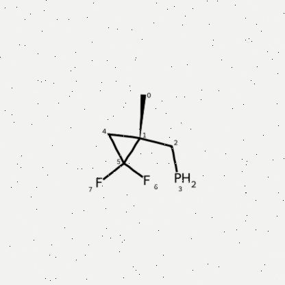 C[C@]1(CP)CC1(F)F